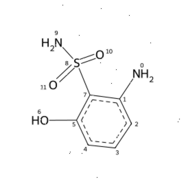 Nc1cccc(O)c1S(N)(=O)=O